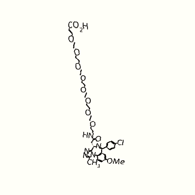 COc1ccc2c(c1)C(c1ccc(Cl)cc1)=N[C@@H](CC(=O)NCCOCCOCCOCCOCCOCCOCCOCCOCCC(=O)O)c1nnc(C)n1-2